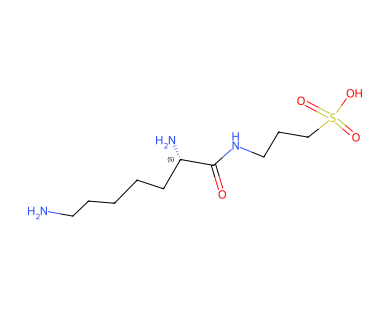 NCCCCC[C@H](N)C(=O)NCCCS(=O)(=O)O